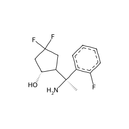 C[C@@](N)(c1ccccc1F)C1CC(F)(F)C[C@H]1O